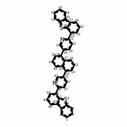 c1ccc2c(c1)sc1c(-c3ccc(-c4cccc5c(-c6ccc(-c7cccc8c7sc7ccccc78)nc6)cccc45)cn3)cccc12